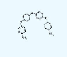 Nc1ccc(Oc2ccc(Sc3ccc(Oc4ccc(N)cc4)cc3)cc2)cc1